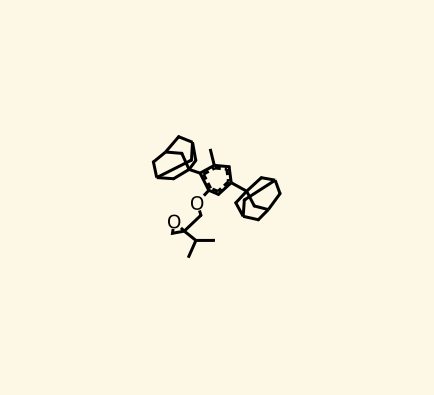 Cc1cc(C23CC4CC(CC(C4)C2)C3)cc(OCC2(C(C)C)CO2)c1C12CC3CC(CC(C3)C1)C2